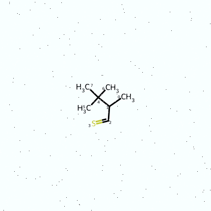 CC(C=S)C(C)(C)C